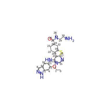 CCOc1cc2[nH]ncc2cc1Nc1ncnc2sc3c(c12)CC[C@H](C(=O)N(C)CCN)C3